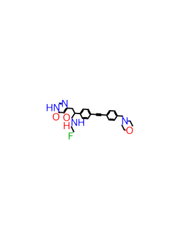 O=c1[nH]cnc(CC(CNCCF)c2ccc(C#Cc3ccc(CN4CCOCC4)cc3)cc2)c1O